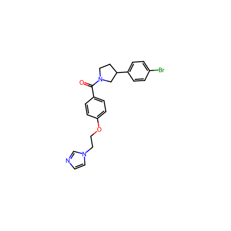 O=C(c1ccc(OCCn2ccnc2)cc1)N1CCC(c2ccc(Br)cc2)C1